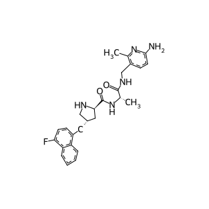 Cc1nc(N)ccc1CNC(=O)[C@H](C)NC(=O)[C@H]1C[C@H](Cc2ccc(F)c3ccccc23)CN1